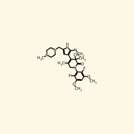 C=Nc1[nH]c(CN2CCN(C)CC2)cc1C1=C(C)CN(c2c(F)c(OC)cc(OC)c2F)C(=O)C1(C)C